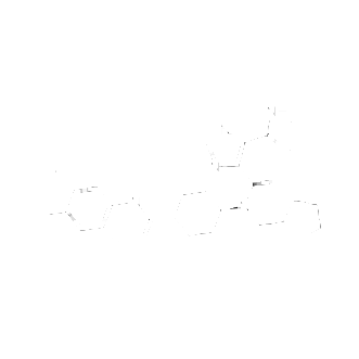 Cc1cc(NC(=O)[C@H]2CC[C@H](N(CC3CCCO3)C(=O)c3nc[nH]c3C(N)=O)CC2)c(Cl)cc1F